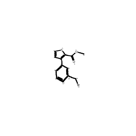 COC(=O)c1sccc1-c1cccc(CBr)c1